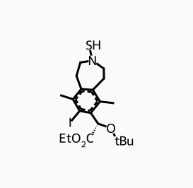 CCOC(=O)[C@@H](OC(C)(C)C)c1c(C)c2c(c(C)c1I)CCN(S)CC2